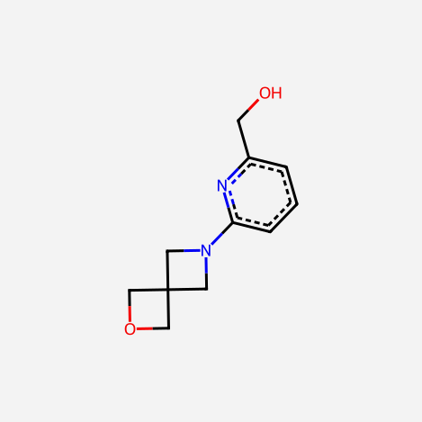 OCc1cccc(N2CC3(COC3)C2)n1